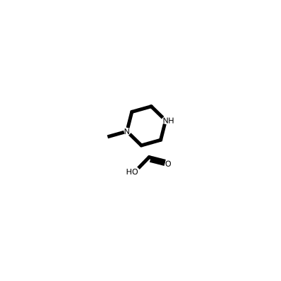 CN1CCNCC1.O=CO